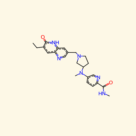 CCc1cc2ncc(CN3CCC(N(C)c4ccc(C(=O)NC)nc4)C3)cc2[nH]c1=O